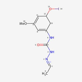 C/C=N/NC(=O)NC1=CC(OC)=CC(OI)C1